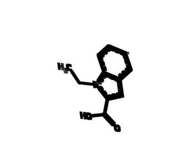 CCn1c(C(=O)O)cc2c[c]ccc21